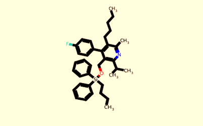 CCCCCc1c(C)nc(C(C)C)c(CO[Si](CCCC)(c2ccccc2)c2ccccc2)c1-c1ccc(F)cc1